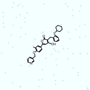 Cc1cc(-c2cc(O)c(Cc3ccccc3SC3CCCCC3)c(=O)o2)ccc1OCc1cccnc1